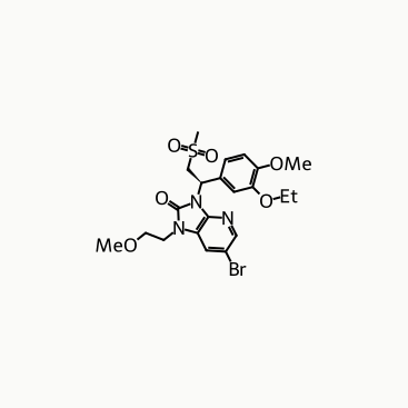 CCOc1cc([C@H](CS(C)(=O)=O)n2c(=O)n(CCOC)c3cc(Br)cnc32)ccc1OC